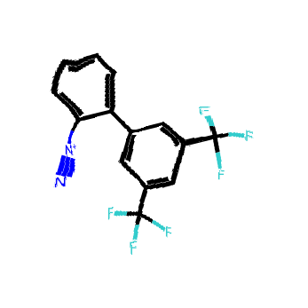 N#[N+]c1ccccc1-c1cc(C(F)(F)F)cc(C(F)(F)F)c1